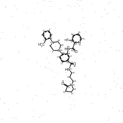 Cc1ccccc1N1CCN(c2ccc(C(=O)NCCCN3CCCC3=O)cc2NC(=O)c2ncccc2F)CC1